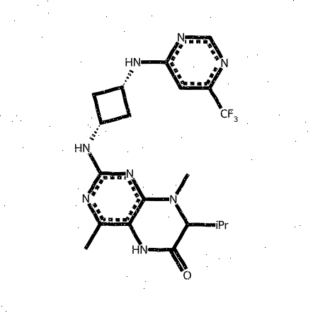 Cc1nc(N[C@H]2C[C@@H](Nc3cc(C(F)(F)F)ncn3)C2)nc2c1NC(=O)C(C(C)C)N2C